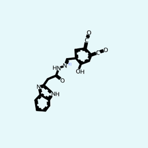 O=C=c1cc(O)c(/C=N/NC(=O)Cc2nc3ccccc3[nH]2)cc1=C=O